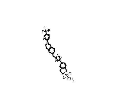 CS(=O)(=O)N1CCc2cc(-c3nc(Cc4ccc5c(c4)CCN(c4ccc(C(F)(F)F)cn4)C5)no3)ccc2C1